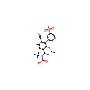 CCOc1c(C(C)N(C(=O)O)C(C)(C)C)cc(C)c(C#N)c1-c1cncc(S(C)(=O)=O)c1